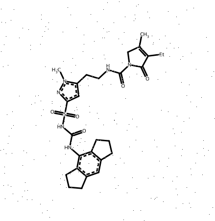 CCC1=C(C)CN(C(=O)NCCc2cc(S(=O)(=O)NC(=O)Nc3c4c(cc5c3CCC5)CCC4)nn2C)C1=O